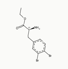 CCOC(=O)[C@@H](N)Cc1ccc(Br)c(Br)c1